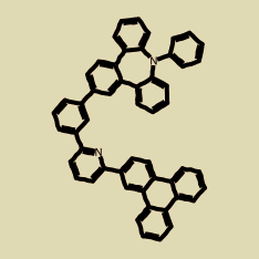 c1ccc(N2c3ccccc3-c3ccc(-c4cccc(-c5cccc(-c6ccc7c8ccccc8c8ccccc8c7c6)n5)c4)cc3-c3ccccc32)cc1